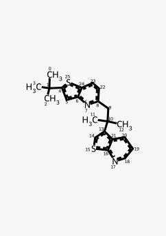 CC(C)(C)c1cc2nc(CC(C)(C)c3csc4ncccc34)ccc2s1